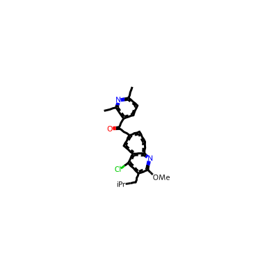 COc1nc2ccc(C(=O)c3ccc(C)nc3C)cc2c(Cl)c1CC(C)C